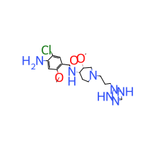 COc1cc(N)c(Cl)cc1C(=O)N[C@H]1CCN(CCCN2NC=NN2)C[C@H]1OC